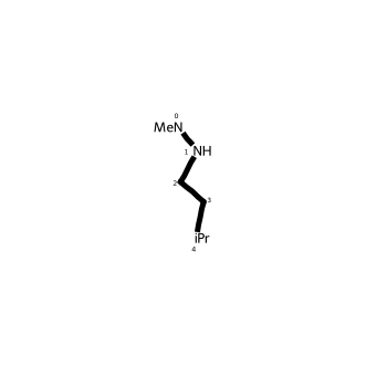 CNNCCC(C)C